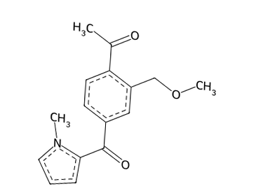 COCc1cc(C(=O)c2cccn2C)ccc1C(C)=O